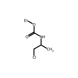 CCOC(=O)NC(C)CCl